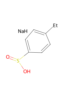 CCc1ccc(S(=O)O)cc1.[NaH]